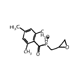 Cc1cc(C)c(C(=O)[PH](=O)CC2CO2)c(C)c1